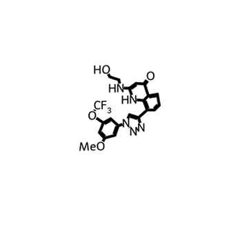 COc1cc(OC(F)(F)F)cc(-n2cc(-c3cccc4c(=O)cc(NCCO)[nH]c34)nn2)c1